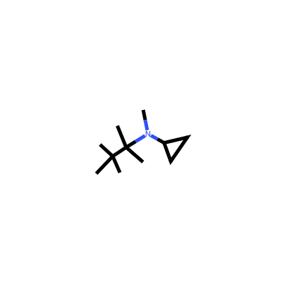 CN(C1CC1)C(C)(C)C(C)(C)C